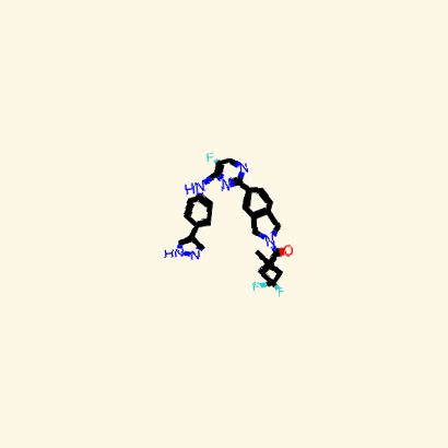 CC1(C(=O)N2Cc3ccc(-c4ncc(F)c(Nc5ccc(-c6cn[nH]c6)cc5)n4)cc3C2)CC(F)(F)C1